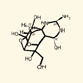 N[C@H]1N[C@H](O)C2C3OC4(O)OC([C@H](O)C2(N1)[C@@H]4O)C3(O)CO